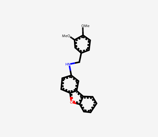 COc1ccc(CNc2ccc3oc4ccccc4c3c2)cc1OC